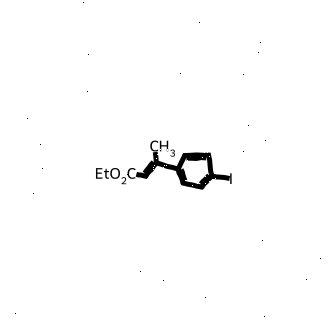 CCOC(=O)C=C(C)c1ccc(I)cc1